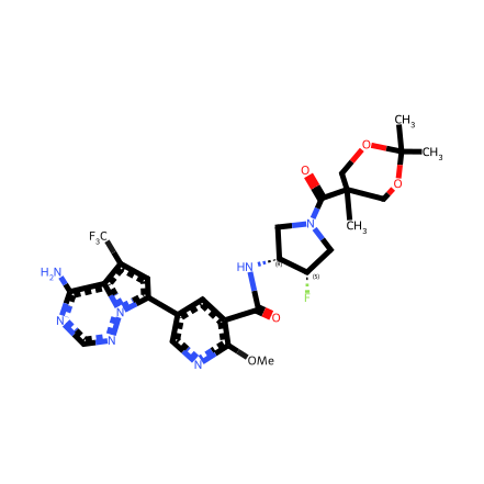 COc1ncc(-c2cc(C(F)(F)F)c3c(N)ncnn23)cc1C(=O)N[C@@H]1CN(C(=O)C2(C)COC(C)(C)OC2)C[C@@H]1F